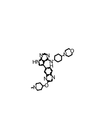 CN1CCC(Oc2cnc3ccc(-c4c[nH]c5ncnc(N[C@H]6CC[C@H](N7CCOCC7)CC6)c45)cc3n2)CC1